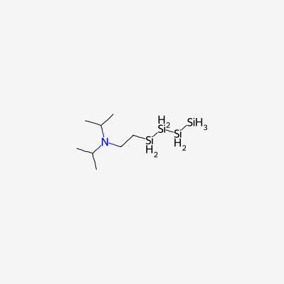 CC(C)N(CC[SiH2][SiH2][SiH2][SiH3])C(C)C